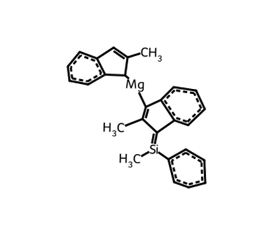 CC1=Cc2ccccc2[CH]1[Mg][C]1=C(C)C(=[Si](C)c2ccccc2)c2ccccc21